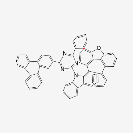 c1ccc(-c2nc(-c3ccc4c5ccccc5c5ccccc5c4c3)nc(-n3c4ccccc4c4cccc(-c5cccc6oc7cccc(-c8ccccc8)c7c56)c43)n2)cc1